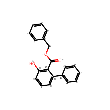 O=C(OCc1ccccc1)c1c(O)cccc1-c1ccccc1